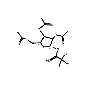 CC(=O)OC[C@@H]1O[C@@H](OC(=N)C(Cl)(Cl)Cl)C(OC(C)=O)C1OC(C)=O